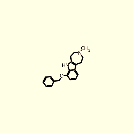 CN1CCc2[nH]c3c(OCc4ccccc4)cccc3c2CC1